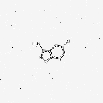 Nc1noc2ncc(Cl)cc12